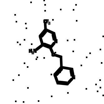 Nc1cc(C(F)(F)F)cnc1OCc1cccnc1